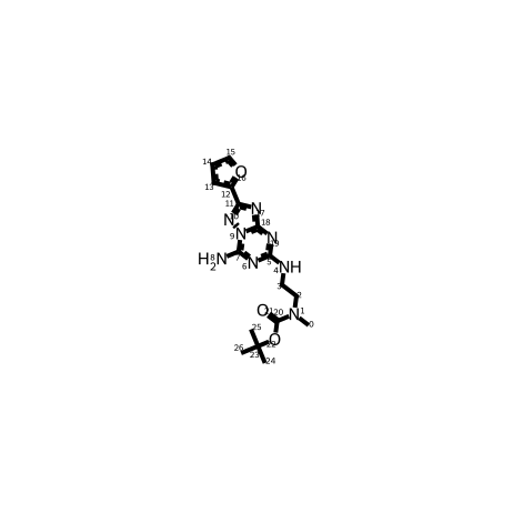 CN(CCNc1nc(N)n2nc(-c3ccco3)nc2n1)C(=O)OC(C)(C)C